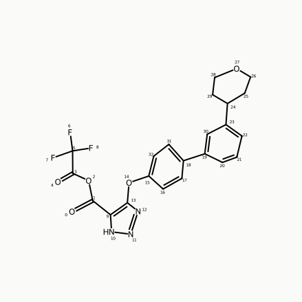 O=C(OC(=O)C(F)(F)F)c1[nH]nnc1Oc1ccc(-c2cccc(C3CCOCC3)c2)cc1